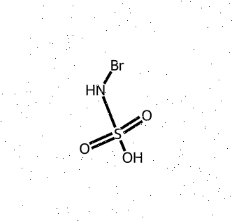 O=S(=O)(O)NBr